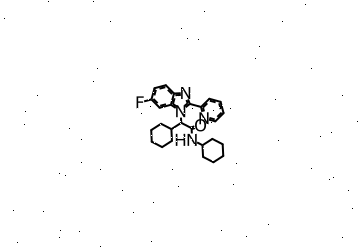 O=C(NC1CCCCC1)C(C1CCCCC1)n1c(-c2ccccn2)nc2ccc(F)cc21